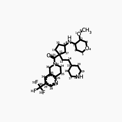 COC1COCCC1NC1CCC(CCC2CCNCC2)(C(=O)N2CCc3ncc(C(F)(F)F)cc3C2)C1